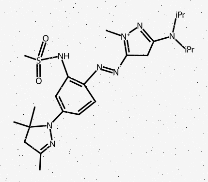 CC1=NN(c2ccc(N=NC3=[N+](C)N=C(N(C(C)C)C(C)C)C3)c(NS(C)(=O)=O)c2)C(C)(C)C1